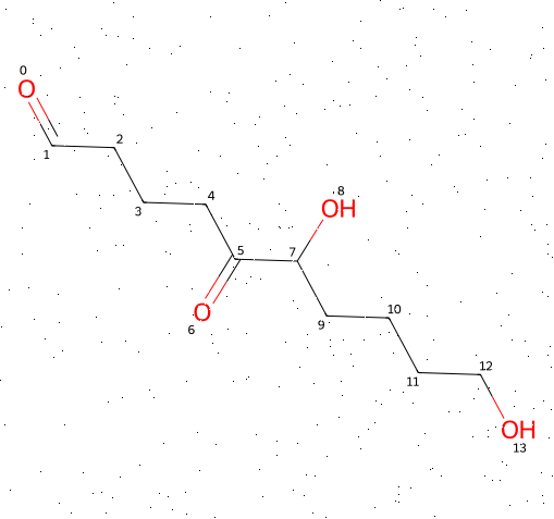 O=CCCCC(=O)C(O)CCCCO